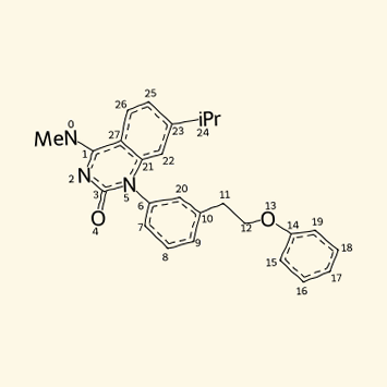 CNc1nc(=O)n(-c2cccc(CCOc3ccccc3)c2)c2cc(C(C)C)ccc12